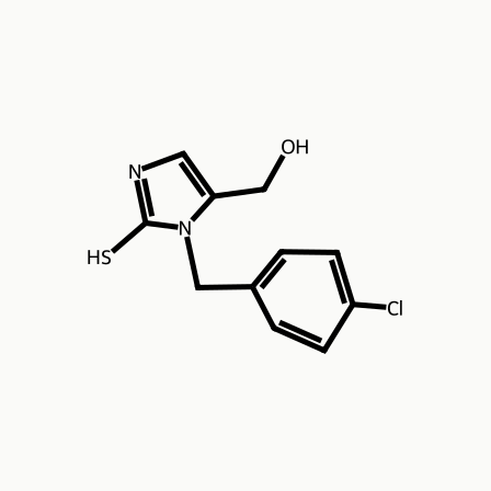 OCc1cnc(S)n1Cc1ccc(Cl)cc1